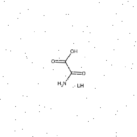 NC(=O)C(=O)O.[LiH]